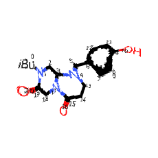 CCC(C)N1CC2N(Cc3ccc(O)cc3)CCC(=O)N2CC1=O